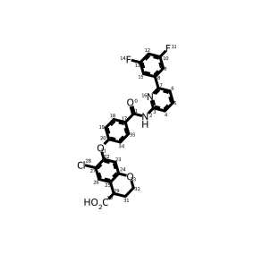 O=C(Nc1cccc(-c2cc(F)cc(F)c2)n1)c1ccc(Oc2cc3c(cc2Cl)C(C(=O)O)CCO3)cc1